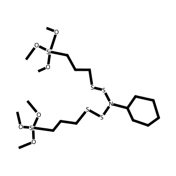 CO[Si](CCCSSN(SSCCC[Si](OC)(OC)OC)C1CCCCC1)(OC)OC